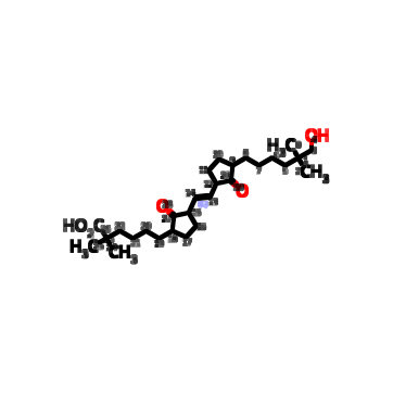 CC(C)(CO)CCCCC1CCC(/C=C/C2CCC(CCCCC(C)(C)C(=O)O)C2=O)C1=O